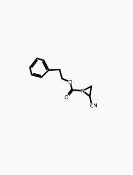 N#CC1CN1C(=O)OCCc1ccccc1